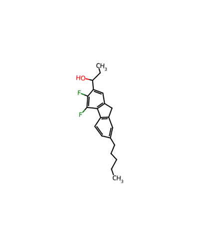 CCCCCc1ccc2c(c1)Cc1cc(C(O)CC)c(F)c(F)c1-2